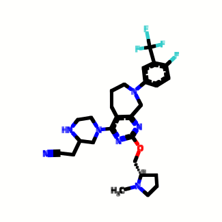 CN1CCC[C@H]1COc1nc2c(c(N3CCNC(CC#N)C3)n1)CCCN(c1ccc(F)c(C(F)(F)F)c1)C2